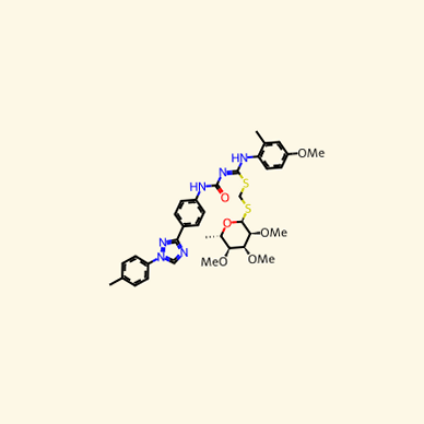 COc1ccc(N/C(=N/C(=O)Nc2ccc(-c3ncn(-c4ccc(C)cc4)n3)cc2)SCS[C@@H]2O[C@@H](C)[C@H](OC)[C@H](OC)[C@@H]2OC)c(C)c1